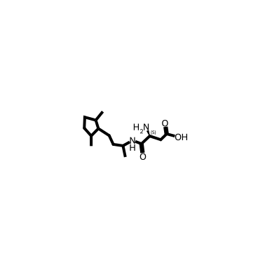 CC(CCC1C(C)CCC1C)NC(=O)[C@@H](N)CC(=O)O